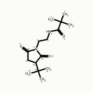 CC(C)(C)C(=O)NCCN1C(=O)CC(C(C)(C)C)C1=O